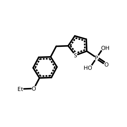 CCOc1ccc(Cc2ccc(P(=O)(O)O)s2)cc1